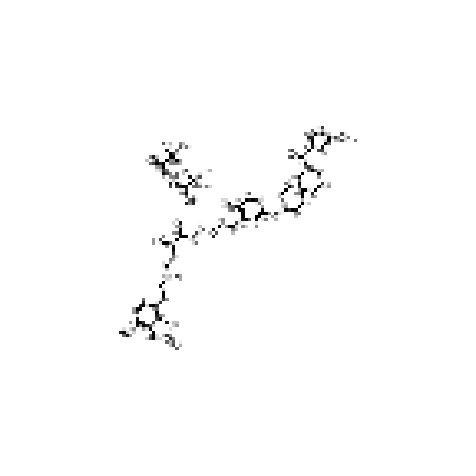 CCN(CCNCCc1ccc(O)c2[nH]c(=O)sc12)C(=O)CCOCCc1cc(CN2CCC3(CCCN(C(=O)c4csc(C)n4)C3)CC2)ccc1Cl.O=C(O)C(F)(F)F.O=C(O)C(F)(F)F